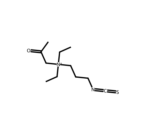 CC[N+](CC)(CCCN=C=S)CC(C)=O